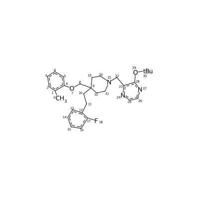 Cc1ccccc1OCC1(CCc2ccccc2F)CCN(Cc2nccnc2OC(C)(C)C)CC1